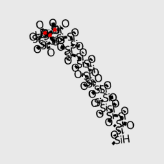 C[SiH](C)O[Si](C)(C)[Si](=O)[Si](=O)[Si](=O)[Si](=O)[Si](=O)[Si](=O)[Si](=O)[Si](=O)[Si](=O)[Si](=O)[Si](=O)[Si](=O)[Si](=O)[Si](=O)[Si](=O)[Si](=O)[Si](=O)[Si](=O)[Si](=O)[Si](=O)[Si](=O)[Si](=O)[Si](=O)[Si](=O)[Si](=O)[Si](=O)[Si](=O)[Si](=O)[Si](=O)[SiH]=O